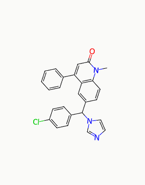 Cn1c(=O)cc(-c2ccccc2)c2cc(C(c3ccc(Cl)cc3)n3ccnc3)ccc21